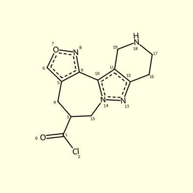 O=C(Cl)C1Cc2conc2-c2c3c(nn2C1)CCNC3